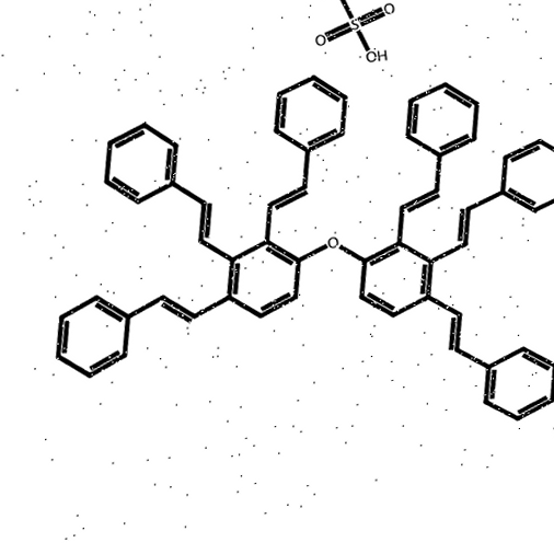 C(=Cc1ccc(Oc2ccc(C=Cc3ccccc3)c(C=Cc3ccccc3)c2C=Cc2ccccc2)c(C=Cc2ccccc2)c1C=Cc1ccccc1)c1ccccc1.O=S(=O)(O)O